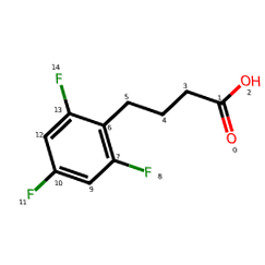 O=C(O)CCCc1c(F)cc(F)cc1F